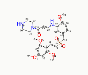 COc1cc(OC)c(C=CS(=O)(=O)Cc2ccc(OC)c(NC=CC(=O)N3CCNCC3)c2)c(OC)c1